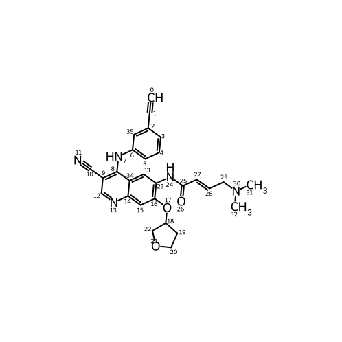 C#Cc1cccc(Nc2c(C#N)cnc3cc(OC4CCOC4)c(NC(=O)C=CCN(C)C)cc23)c1